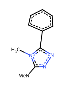 CNc1nnc(-c2ccccc2)n1C